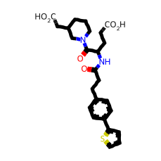 O=C(O)CCC(NC(=O)CCc1ccc(-c2cccs2)cc1)C(=O)N1CCCC(CC(=O)O)C1